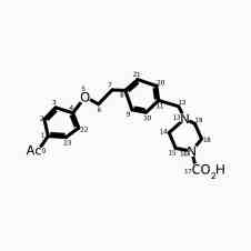 CC(=O)c1ccc(OCCc2ccc(CN3CCN(C(=O)O)CC3)cc2)cc1